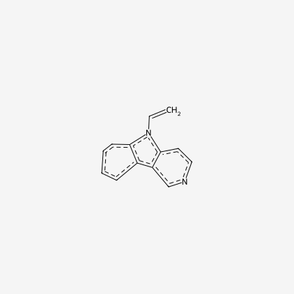 C=Cn1c2ccccc2c2cnccc21